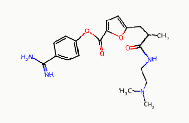 CC(Cc1ccc(C(=O)Oc2ccc(C(=N)N)cc2)o1)C(=O)NCCN(C)C